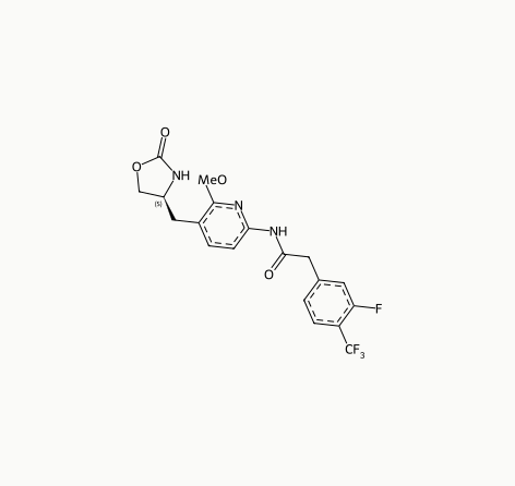 COc1nc(NC(=O)Cc2ccc(C(F)(F)F)c(F)c2)ccc1C[C@H]1COC(=O)N1